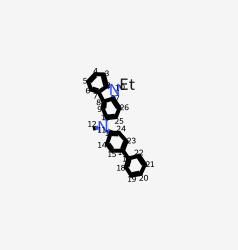 CCn1c2ccccc2c2cc(N(C)c3ccc(-c4ccccc4)cc3)ccc21